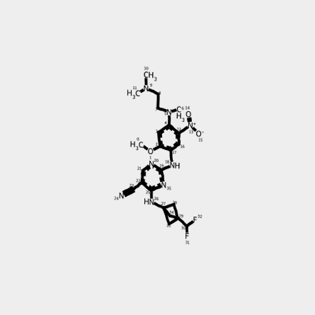 COc1cc(N(C)CCN(C)C)c([N+](=O)[O-])cc1Nc1ncc(C#N)c(NC23CC(C(F)F)(C2)C3)n1